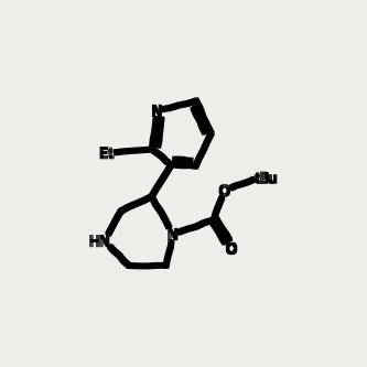 CCc1ncccc1C1CNCCN1C(=O)OC(C)(C)C